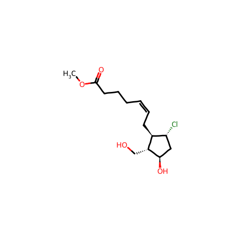 COC(=O)CCC/C=C\C[C@@H]1[C@@H](CO)[C@H](O)C[C@H]1Cl